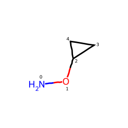 NOC1CC1